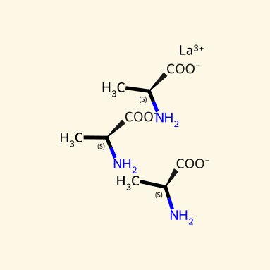 C[C@H](N)C(=O)[O-].C[C@H](N)C(=O)[O-].C[C@H](N)C(=O)[O-].[La+3]